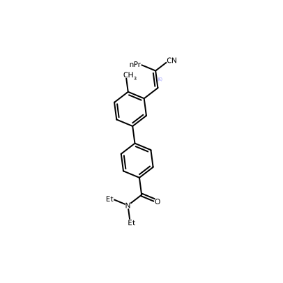 CCC/C(C#N)=C\c1cc(-c2ccc(C(=O)N(CC)CC)cc2)ccc1C